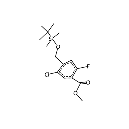 COC(=O)c1cc(Cl)c(CO[Si](C)(C)C(C)(C)C)cc1F